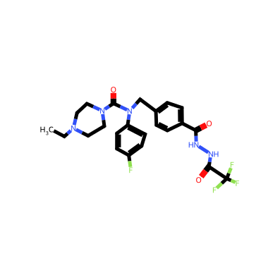 CCN1CCN(C(=O)N(Cc2ccc(C(=O)NNC(=O)C(F)(F)F)cc2)c2ccc(F)cc2)CC1